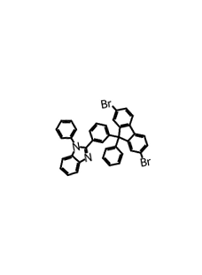 Brc1ccc2c(c1)C(c1ccccc1)(c1cccc(-c3nc4ccccc4n3-c3ccccc3)c1)c1cc(Br)ccc1-2